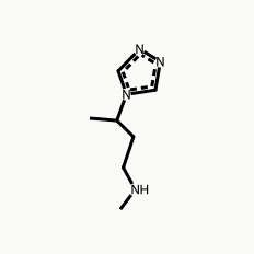 CNCCC(C)n1cnnc1